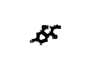 CC(=O)SC(=O)c1ccc(I)cc1O